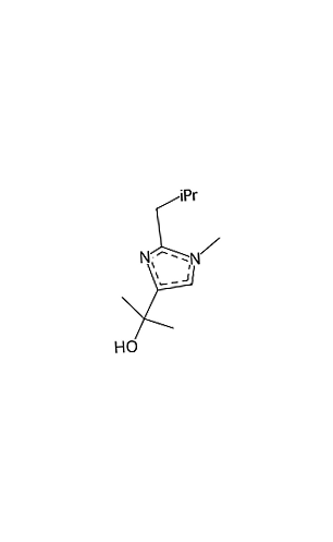 CC(C)Cc1nc(C(C)(C)O)cn1C